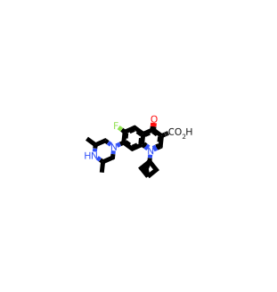 CC1CN(c2cc3c(cc2F)c(=O)c(C(=O)O)cn3C23CC(C2)C3)CC(C)N1